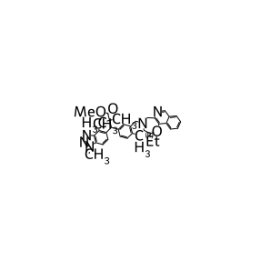 CC[C@@H]1CN(Cc2cc(C(c3ccc4c(nnn4C)c3C)C(C)(C)C(=O)OC)ccc2C)Cc2ncc3ccccc3c2O1